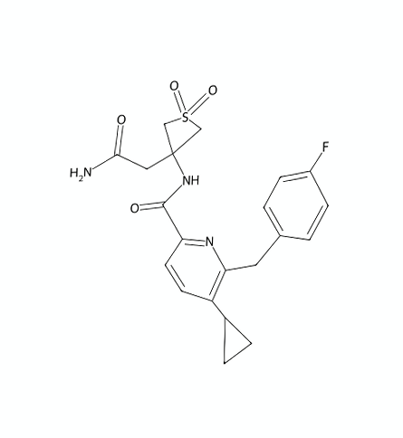 NC(=O)CC1(NC(=O)c2ccc(C3CC3)c(Cc3ccc(F)cc3)n2)CS(=O)(=O)C1